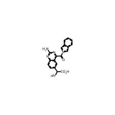 CCCC(C(=O)O)c1ccc2nc(N)nc(C(=O)n3cc4ccccc4c3)c2c1